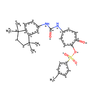 Cc1ccc(S(=O)(=O)Oc2ccc(NC(=O)Nc3ccc4c(c3)C(C)(C)CCC4(C)C)ccc2=O)cc1